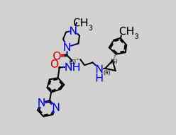 Cc1ccc([C@@H]2C[C@H]2NCCC[C@H](NC(=O)c2ccc(-c3ncccn3)cc2)C(=O)N2CCN(C)CC2)cc1